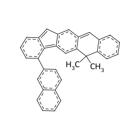 CC1(C)c2ccccc2C=c2cc3c(cc21)=c1c(-c2ccc4ccccc4c2)cccc1=C3